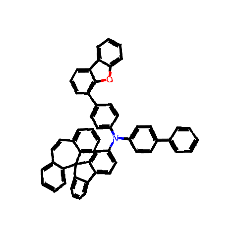 C1=Cc2ccccc2C2(c3ccccc31)c1ccccc1-c1ccc(N(c3ccc(-c4ccccc4)cc3)c3ccc(-c4cccc5c4oc4ccccc45)cc3)cc12